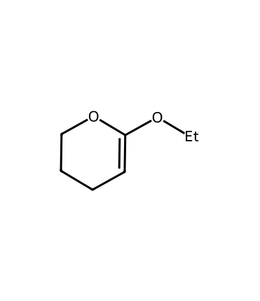 CCOC1=CCCCO1